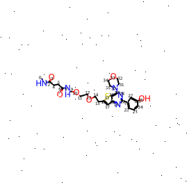 CNC(=O)CCC(=O)NCOCCOCCc1cc2nc(-c3cccc(O)c3)nc(N3CCOCC3)c2s1